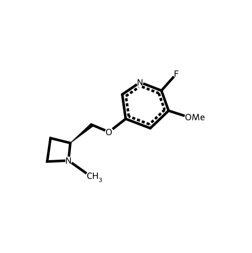 COc1cc(OC[C@@H]2CCN2C)cnc1F